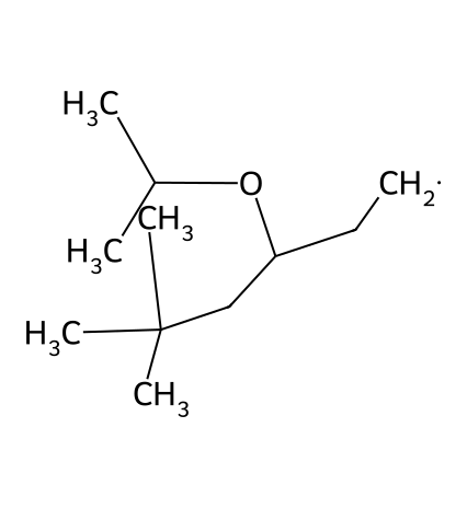 [CH2]CC(CC(C)(C)C)OC(C)C